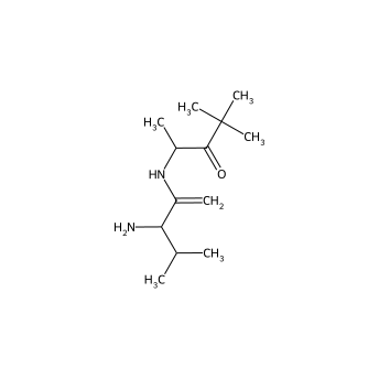 C=C(NC(C)C(=O)C(C)(C)C)C(N)C(C)C